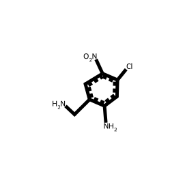 NCc1cc([N+](=O)[O-])c(Cl)cc1N